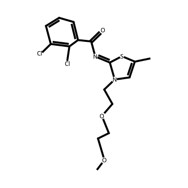 COCCOCCn1cc(C)sc1=NC(=O)c1cccc(Cl)c1Cl